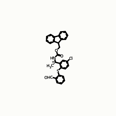 C[C@H](NC(=O)OCC1c2ccccc2-c2ccccc21)c1cc(Cl)ccc1Sc1ccccc1C=O